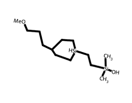 COCCCC1CC[SiH](CC[Si](C)(C)O)CC1